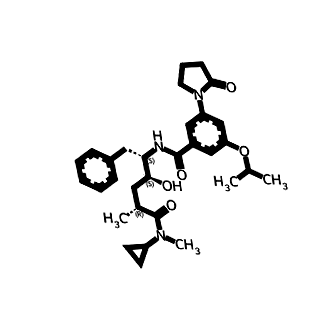 CC(C)Oc1cc(C(=O)N[C@@H](Cc2ccccc2)[C@@H](O)C[C@@H](C)C(=O)N(C)C2CC2)cc(N2CCCC2=O)c1